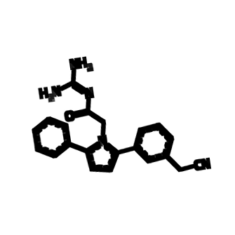 N#CCc1cccc(-c2ccc(-c3ccccc3)n2CC(=O)N=C(N)N)c1